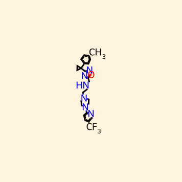 Cc1ccc(C2(c3noc(CNCCN4CCN(c5ccc(C(F)(F)F)cn5)CC4)n3)CC2)cc1